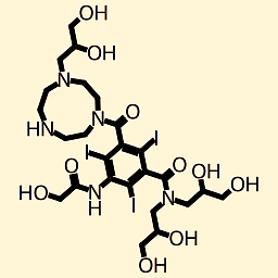 O=C(CO)Nc1c(I)c(C(=O)N2CCNCCN(CC(O)CO)CC2)c(I)c(C(=O)N(CC(O)CO)CC(O)CO)c1I